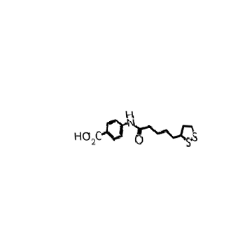 O=C(CCCCC1CCSS1)Nc1ccc(C(=O)O)cc1